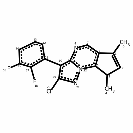 CC1=CC(C)c2c1cnc1c(-c3cccc(F)c3F)c(Cl)nn21